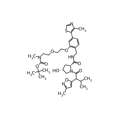 Cc1cc(C(C(=O)N2C[C@H](O)C[C@H]2C(=O)NCc2ccc(-c3scnc3C)cc2OCCOCCN(C)C(=O)OC(C)(C)C)C(C)C)on1